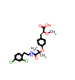 CO[C@@H](Cc1ccc(OC(C)(C)C(=O)NCCc2ccc(Cl)cc2Cl)cc1)C(=O)O